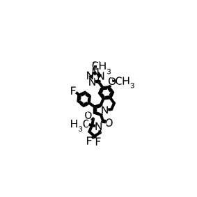 COc1cc2c(cc1-c1nnn(C)n1)-c1c(-c3ccc(F)cc3)cc(C(=O)N3CC(F)(F)CC3(C)C=O)n1CC2